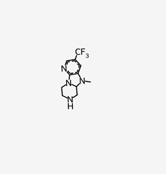 CN1c2cc(C(F)(F)F)cnc2N2CCNCC12